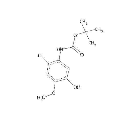 COc1cc(Cl)c(NC(=O)OC(C)(C)C)cc1O